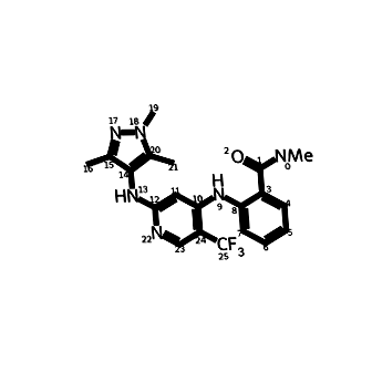 CNC(=O)c1ccccc1Nc1cc(Nc2c(C)nn(C)c2C)ncc1C(F)(F)F